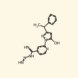 CC(c1ccccc1)c1cc(O)n(-c2cc(C(=N)NN=N)ccn2)n1